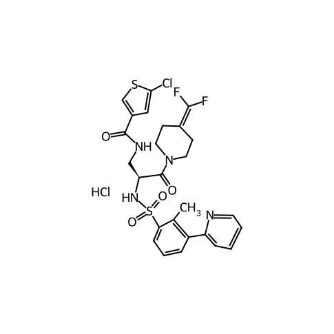 Cc1c(-c2ccccn2)cccc1S(=O)(=O)N[C@@H](CNC(=O)c1csc(Cl)c1)C(=O)N1CCC(=C(F)F)CC1.Cl